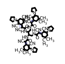 CC1(C)CC(N2CCCC2)=C(C#N)/C(=C(/C#N)C(=O)NC(CNC(=O)/C(C#N)=C2\CC(C)(C)CC(N3CCCC3)=C2C#N)C(CNC(=O)/C(C#N)=C2\CC(C)(C)CC(N3CCCC3)=C2C#N)NC(=O)/C(C#N)=C2\CC(C)(C)CC(N3CCCC3)=C2C#N)C1